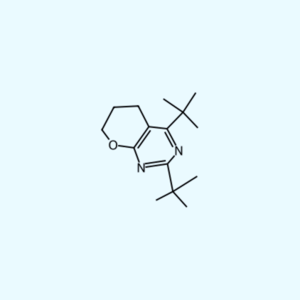 CC(C)(C)c1nc2c(c(C(C)(C)C)n1)CCCO2